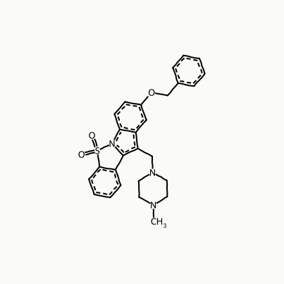 CN1CCN(Cc2c3n(c4ccc(OCc5ccccc5)cc24)S(=O)(=O)c2ccccc2-3)CC1